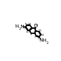 NC1=CC2Cc3cc(N)ccc3C(=O)C2C=C1